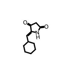 O=C1CC(=O)C(=CC2CCCCC2)N1